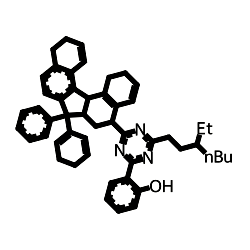 CCCCC(CC)CCc1nc(-c2ccccc2O)nc(C2CC3C(C4=C2C=CCC4)c2c(ccc4c2C=CCC4)C3(C2=CCCC=C2)c2ccccc2)n1